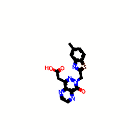 Cc1ccc2sc(Cn3nc(CC(=O)O)c4nccnc4c3=O)nc2c1